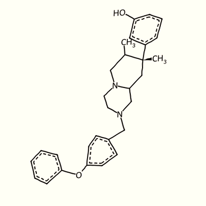 CC1CN2CCN(Cc3ccc(Oc4ccccc4)cc3)CC2C[C@@]1(C)c1cccc(O)c1